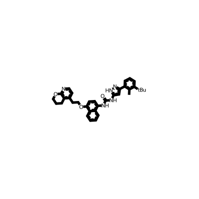 Cc1c(-c2cc(NC(=O)Nc3ccc(OCCc4ccnc5c4CCCO5)c4ccccc34)[nH]n2)cccc1C(C)(C)C